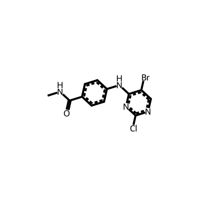 CNC(=O)c1ccc(Nc2nc(Cl)ncc2Br)cc1